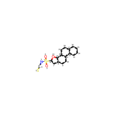 O=S(=O)(N=C=S)c1cc2ccc3c4ccccc4ccc3c2o1